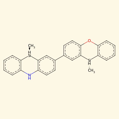 C[Si@@H]1c2ccccc2Nc2ccc(-c3ccc4c(c3)[Si@@H](C)c3ccccc3O4)cc21